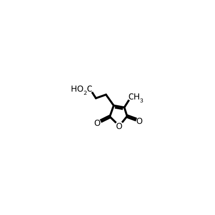 CC1=C(CCC(=O)O)C(=O)OC1=O